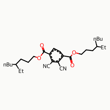 CCCCC(CC)CCCOC(=O)c1ccc(C(=O)OCCCC(CC)CCCC)c(C#N)c1C#N